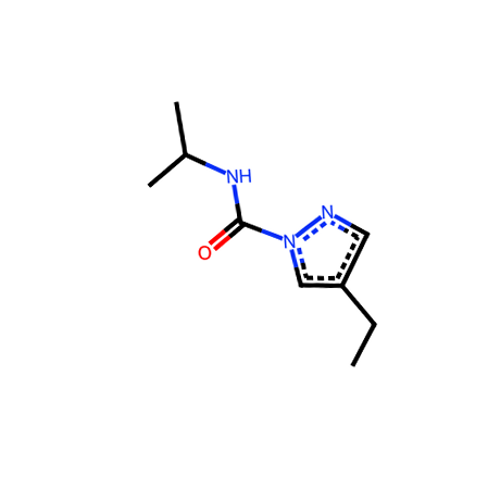 CCc1cnn(C(=O)NC(C)C)c1